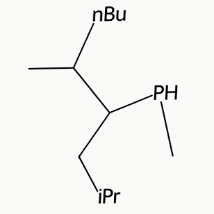 CCCCC(C)C(CC(C)C)PC